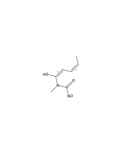 C/C=C\C=C(\O)N(C)C(=O)N=O